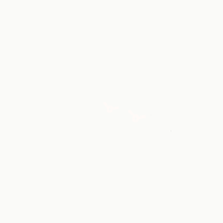 CCCCOCOC(C)[S]